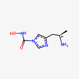 C[C@@H](N)Cc1cn(C(=O)NO)cn1